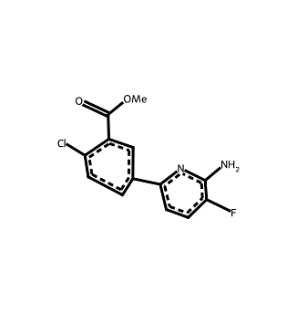 COC(=O)c1cc(-c2ccc(F)c(N)n2)ccc1Cl